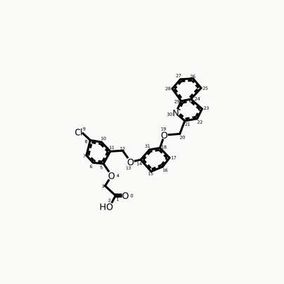 O=C(O)COc1ccc(Cl)cc1COc1cccc(OCc2ccc3ccccc3n2)c1